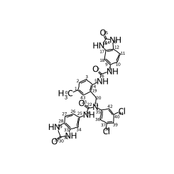 Cc1ccc(NC(=O)Nc2ccc3[nH]c(=O)[nH]c3c2)c(CN(C(=O)Nc2ccc3[nH]c(=O)[nH]c3c2)c2cc(Cl)cc(Cl)c2)c1